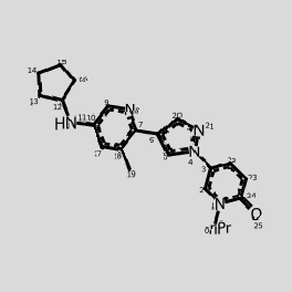 CCCn1cc(-n2cc(-c3ncc(NC4CCCC4)cc3C)cn2)ccc1=O